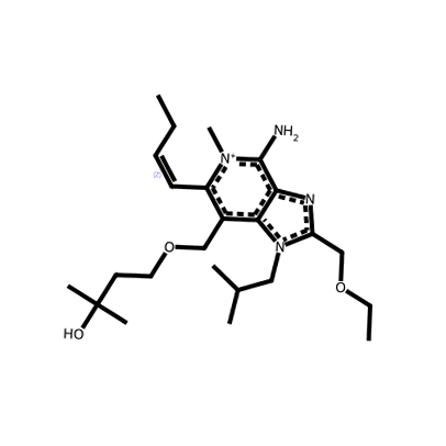 CC/C=C\c1c(COCCC(C)(C)O)c2c(nc(COCC)n2CC(C)C)c(N)[n+]1C